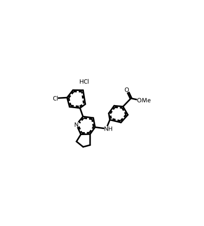 COC(=O)c1ccc(Nc2cc(-c3cccc(Cl)c3)nc3c2CCC3)cc1.Cl